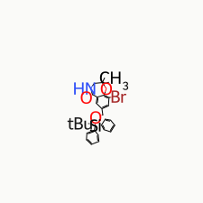 CC1CNC(=O)c2cc(CO[Si](c3ccccc3)(c3ccccc3)C(C)(C)C)cc(Br)c2O1